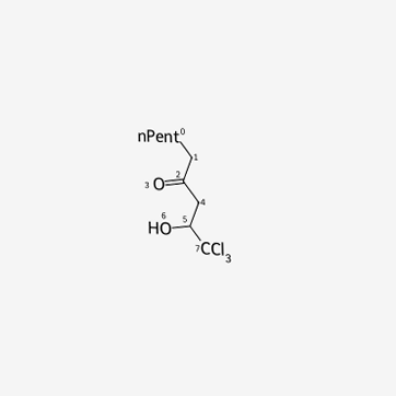 CCCCCCC(=O)CC(O)C(Cl)(Cl)Cl